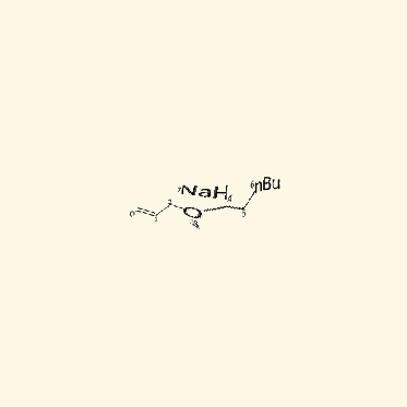 C=CCOCCCCCC.[NaH]